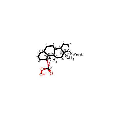 CCC[C@@H](C)[C@H]1CCC2C3CCC4CCCC(OC(=O)OO)[C@]4(C)C3CC[C@@]21C